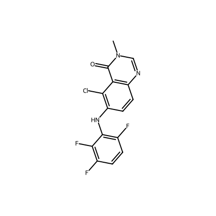 Cn1cnc2ccc(Nc3c(F)ccc(F)c3F)c(Cl)c2c1=O